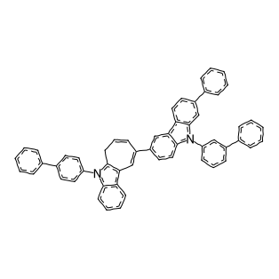 C1=CC(c2ccc3c(c2)c2ccc(-c4ccccc4)cc2n3-c2cccc(-c3ccccc3)c2)=Cc2c(n(-c3ccc(-c4ccccc4)cc3)c3ccccc23)C1